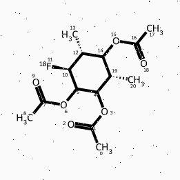 CC(=O)OC1C(OC(C)=O)[C@@H]([18F])[C@H](C)C(OC(C)=O)[C@@H]1C